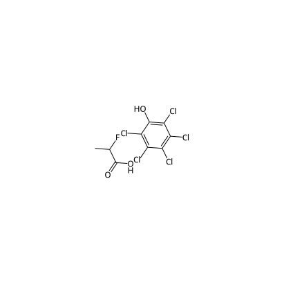 CC(F)C(=O)O.Oc1c(Cl)c(Cl)c(Cl)c(Cl)c1Cl